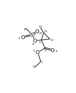 CCOC(=O)C1(OS(C)(=O)=O)CC1C